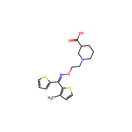 Cc1ccsc1C(=NOCCN1CCCC(C(=O)O)C1)c1cccs1